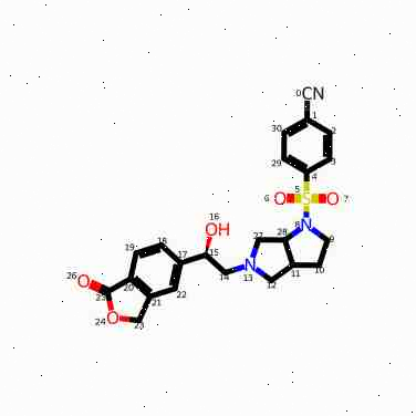 N#Cc1ccc(S(=O)(=O)N2CCC3CN(C[C@H](O)c4ccc5c(c4)COC5=O)CC32)cc1